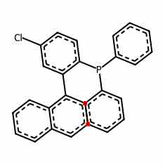 Clc1ccc(P(c2ccccc2)c2ccccc2)c(-c2cccc3ccccc23)c1